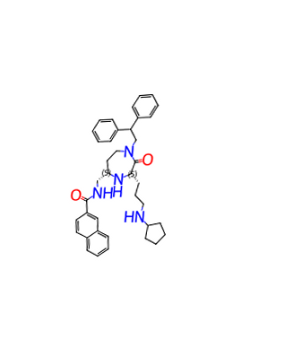 O=C(NC[C@@H]1CCN(CC(c2ccccc2)c2ccccc2)C(=O)[C@H](CCCNC2CCCC2)N1)c1ccc2ccccc2c1